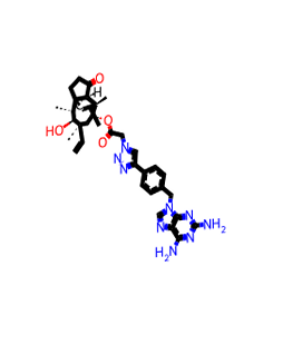 C=C[C@]1(C)C[C@@H](OC(=O)Cn2cc(-c3ccc(Cn4cnc5c(N)nc(N)nc54)cc3)nn2)[C@]2(C)C(C)CC[C@]3(CCC(=O)[C@H]32)[C@@H](C)[C@@H]1O